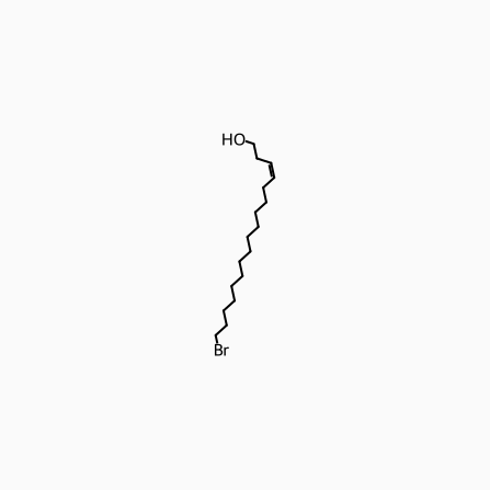 OCC/C=C\CCCCCCCCCCCCCBr